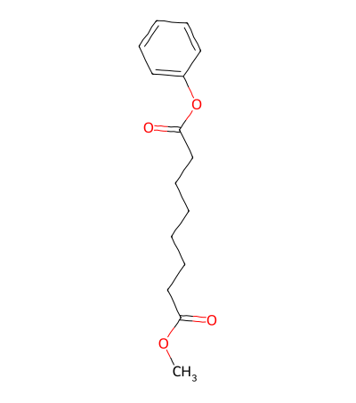 COC(=O)CCCCCCC(=O)Oc1ccccc1